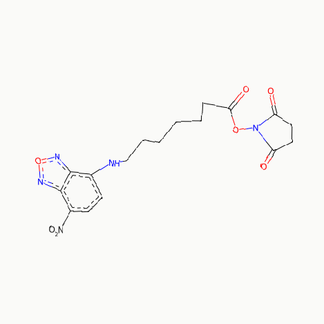 O=C(CCCCCCNc1ccc([N+](=O)[O-])c2nonc12)ON1C(=O)CCC1=O